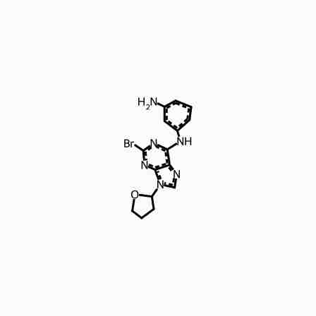 Nc1cccc(Nc2nc(Br)nc3c2ncn3C2CCCO2)c1